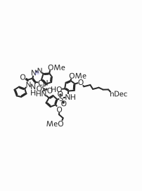 CCCCCCCCCCCCCCCCOc1cc(NS(=O)(=O)c2cc(NS(=O)(=O)c3ccc(OC)c(/N=N\c4c(C#N)[nH]n(-c5ccccc5)c4=O)c3)ccc2OCCOC)c(O)cc1OC